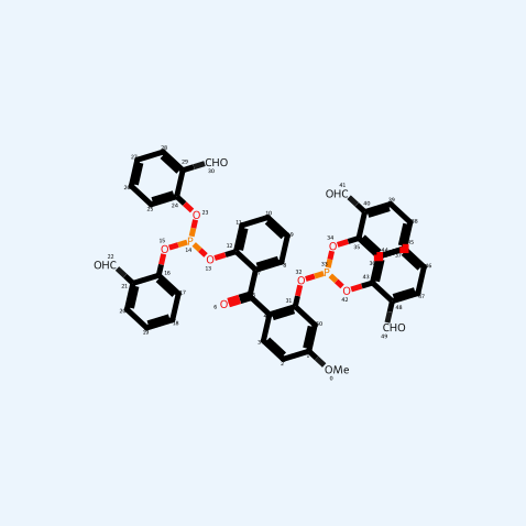 COc1ccc(C(=O)c2ccccc2OP(Oc2ccccc2C=O)Oc2ccccc2C=O)c(OP(Oc2ccccc2C=O)Oc2ccccc2C=O)c1